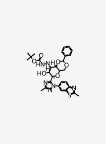 Cc1nc([C@@H]2OC3COC(c4ccccc4)O[C@@H]3C(NNC(=O)OC(C)(C)C)C2O)n(-c2ccc3nc(C)sc3c2)n1